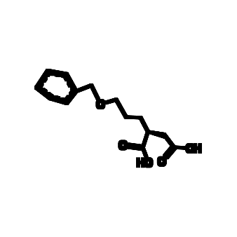 O=C(O)C[C@H](CCCOCc1ccccc1)C(=O)O